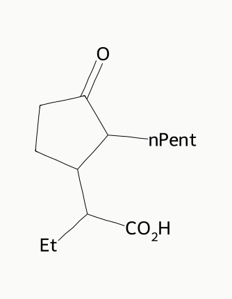 CCCCCC1C(=O)CCC1C(CC)C(=O)O